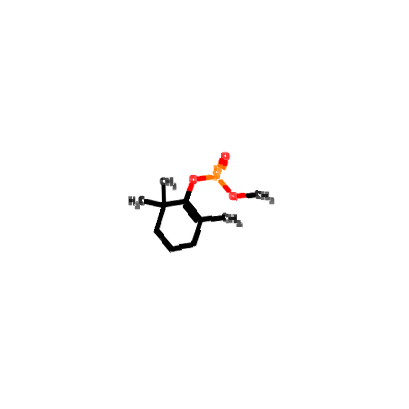 CO[PH](=O)OC1=C(C)CCCC1(C)C